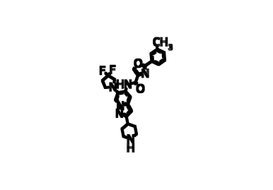 Cc1cccc(-c2nc(C(=O)Nc3cc4cc(C5CCNCC5)nn4cc3N3CCC(F)(F)C3)co2)c1